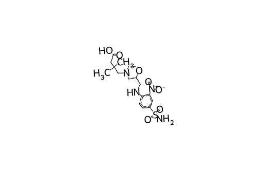 CC(C)(CC(=O)O)CN1CCOC(CNc2ccc(S(N)(=O)=O)cc2[N+](=O)[O-])C1